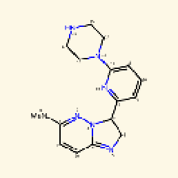 CNC1=NN2C(=NCC2c2cccc(N3CCNCC3)n2)C=C1